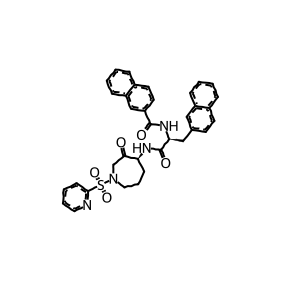 O=C(N[C@@H](Cc1ccc2ccccc2c1)C(=O)N[C@H]1CCCN(S(=O)(=O)c2ccccn2)CC1=O)c1ccc2ccccc2c1